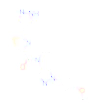 CCOC1CC(n2ncc3c2CCCN3C(=O)c2csc(-c3cn[nH]c3)n2)C1